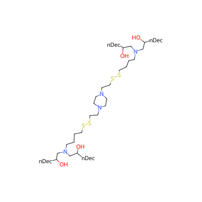 CCCCCCCCCCC(O)CN(CCCCSSCCN1CCN(CCSSCCCCN(CC(O)CCCCCCCCCC)CC(O)CCCCCCCCCC)CC1)CC(O)CCCCCCCCCC